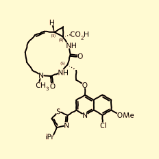 COc1ccc2c(OCC[C@@H]3NC(=O)N(C)CCCCC=C[C@@H]4C[C@@]4(C(=O)O)NC3=O)cc(-c3nc(C(C)C)cs3)nc2c1Cl